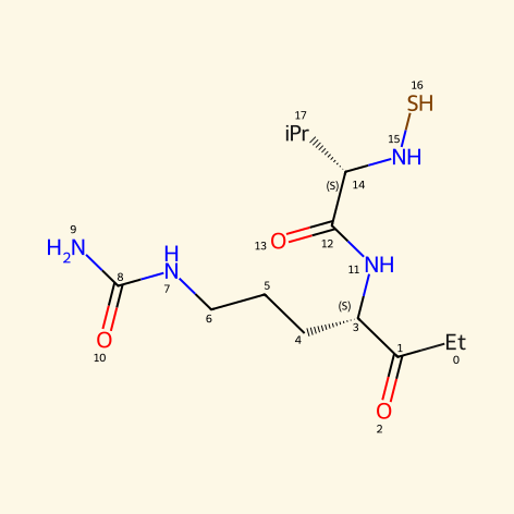 CCC(=O)[C@H](CCCNC(N)=O)NC(=O)[C@@H](NS)C(C)C